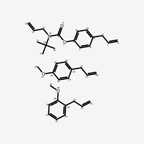 C=CCc1ccc(OC(=O)N(CC=C)C(C)(C)C)cc1.C=CCc1ccc(OC)cc1.C=CCc1ccccc1OC